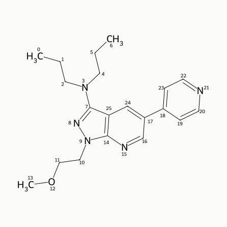 CCCN(CCC)c1nn(CCOC)c2ncc(-c3ccncc3)cc12